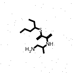 C=C(NC(C)CN)C(=C)SC(CC)CCC